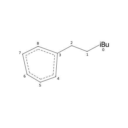 C[CH]C(C)CCc1ccccc1